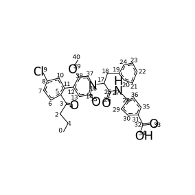 CCCC(=O)c1ccc(Cl)cc1-c1cc(=O)n(C(Cc2ccccc2)C(=O)Nc2ccc(C(=O)O)cc2)cc1OC